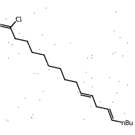 CCCCC=CCC=CCCCCCCCCC(=O)Cl